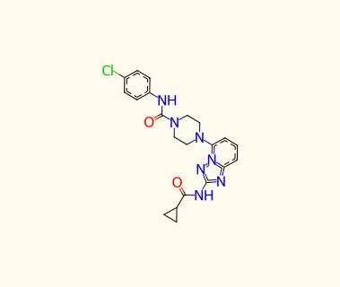 O=C(Nc1nc2cccc(N3CCN(C(=O)Nc4ccc(Cl)cc4)CC3)n2n1)C1CC1